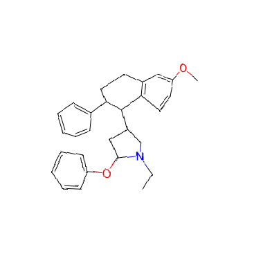 CCN1CC(C2c3ccc(OC)cc3CCC2c2ccccc2)CC1Oc1ccccc1